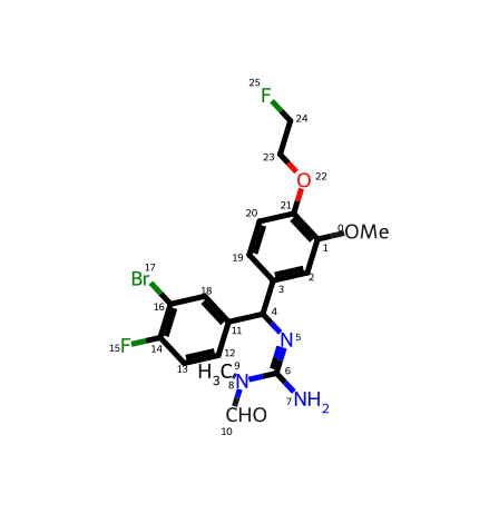 COc1cc(C(/N=C(/N)N(C)C=O)c2ccc(F)c(Br)c2)ccc1OCCF